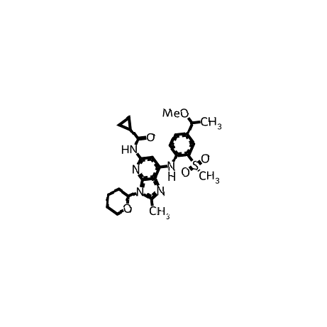 COC(C)c1ccc(Nc2cc(NC(=O)C3CC3)nc3c2nc(C)n3C2CCCCO2)c(S(C)(=O)=O)c1